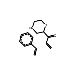 C=CC(=O)C1CNCCO1.C=Cc1ccccc1